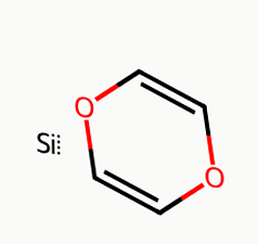 C1=COC=CO1.[Si]